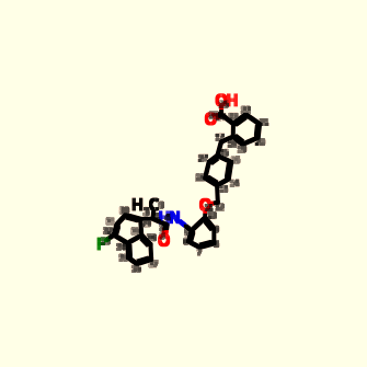 CC(C(=O)Nc1ccccc1OCc1ccc(Cc2ccccc2C(=O)O)cc1)c1ccc(F)c2ccccc12